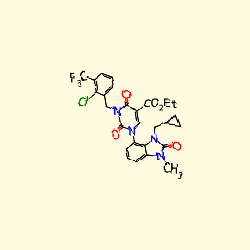 CCOC(=O)c1cn(-c2cccc3c2n(CC2CC2)c(=O)n3C)c(=O)n(Cc2cccc(C(F)(F)F)c2Cl)c1=O